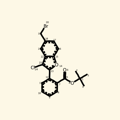 CC(C)(C)OC(=O)c1ccccc1-c1oc2ccc(CBr)cc2c1Cl